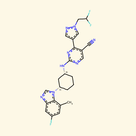 Cc1cc(F)cc2ncn([C@H]3CCC[C@@H](Nc4ncc(C#N)c(-c5cnn(CC(F)F)c5)n4)C3)c12